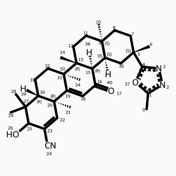 Cc1nnc([C@@]2(C)CC[C@]3(C)CC[C@]4(C)[C@H](C(=O)C=C5[C@@]6(C)C=C(C#N)C(O)C(C)(C)[C@@H]6CC[C@]54C)[C@@H]3C2)o1